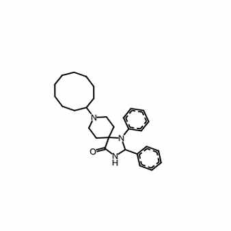 O=C1NC(c2ccccc2)N(c2ccccc2)C12CCN(C1CCCCCCCCC1)CC2